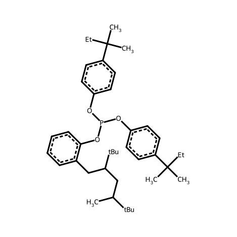 CCC(C)(C)c1ccc(OP(Oc2ccc(C(C)(C)CC)cc2)Oc2ccccc2CC(CC(C)C(C)(C)C)C(C)(C)C)cc1